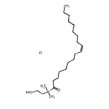 CCCCCCCC/C=C\CCCCCCCC(=O)[N+](C)(C)CCO.[Cl-]